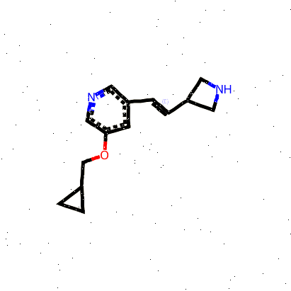 C(=C\C1CNC1)/c1cncc(OCC2CC2)c1